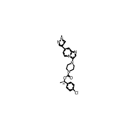 C[C@@H](OC(=O)N1CCN(c2cnc3cc(-c4cnn(C)c4)ccn23)CC1)c1ccc(Cl)cc1